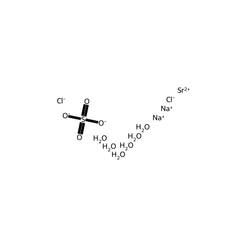 O.O.O.O.O.O.O=S(=O)([O-])[O-].[Cl-].[Cl-].[Na+].[Na+].[Sr+2]